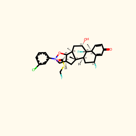 C[C@]12C[C@H](O)[C@@]3(F)[C@@H](C[C@H](F)C4=CC(=O)C=C[C@@]43C)[C@]1(C)C[C@H]1CN(c3cccc(Cl)c3)O[C@]12C(=O)SCF